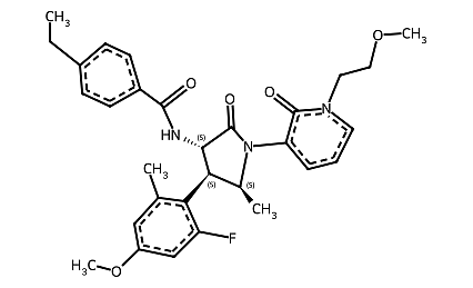 CCc1ccc(C(=O)N[C@@H]2C(=O)N(c3cccn(CCOC)c3=O)[C@@H](C)[C@H]2c2c(C)cc(OC)cc2F)cc1